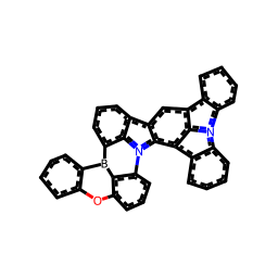 c1ccc2c(c1)Oc1cccc3c1B2c1cccc2c4cc5c6ccccc6n6c7ccccc7c(c4n-3c12)c56